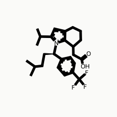 CC(C)CC[C@H](c1ccc(C(F)(F)F)cc1)n1c(C(C)C)cc2c1C(CC(=O)O)CCC2